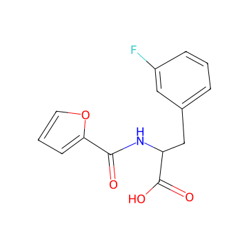 O=C(NC(Cc1cccc(F)c1)C(=O)O)c1ccco1